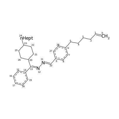 C=CCCCCc1ccc(C=NN=C(c2ccccc2)C2CCC(CCCCCCC)CC2)cc1